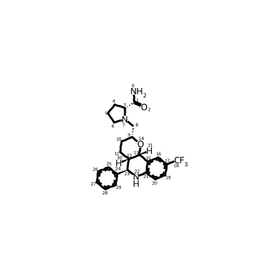 NC(=O)[C@H]1CCCN1C[C@H]1CC[C@@H]2[C@H](O1)c1cc(C(F)(F)F)ccc1N[C@H]2c1ccccc1